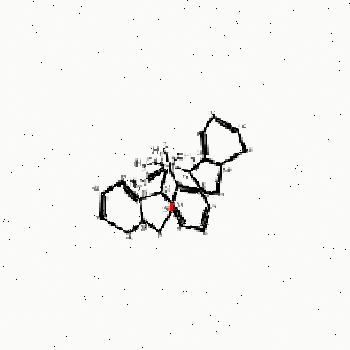 [CH3][Hf]([CH3])([CH3])(=[SiH2])([c]1ccccc1)([CH]1CCC2CC=CC=C21)[CH]1CCC2CC=CC=C21